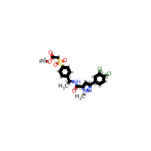 CC(C)OC(=O)CS(=O)(=O)c1ccc(C(C)NC(=O)c2cc(-c3ccc(Cl)c(Cl)c3)nn2C)cc1